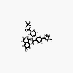 Cn1nnc(-c2ccc(C(=O)N(c3nccc4cc(Br)ccc34)[C@@H]3CCCN(C(=O)OC(C)(C)C)C3)cc2)n1